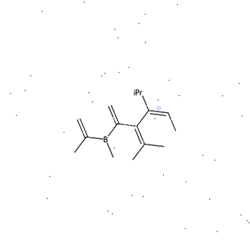 C=C(C)B(C)C(=C)C(=C(C)C)/C(=C\C)C(C)C